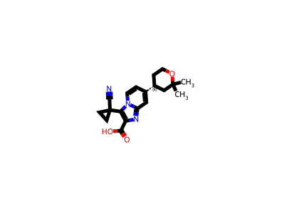 CC1(C)C[C@H](c2ccn3c(C4(C#N)CC4)c(C(=O)O)nc3c2)CCO1